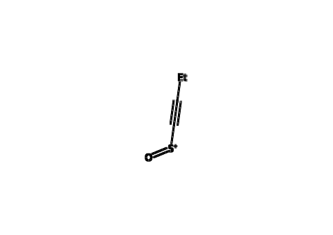 CCC#C[S+]=O